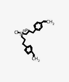 C=Cc1ccc(CCC[Si](Cl)(CCC)CCCc2ccc(C=C)cc2)cc1